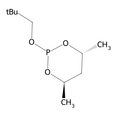 C[C@@H]1C[C@@H](C)OP(OCC(C)(C)C)O1